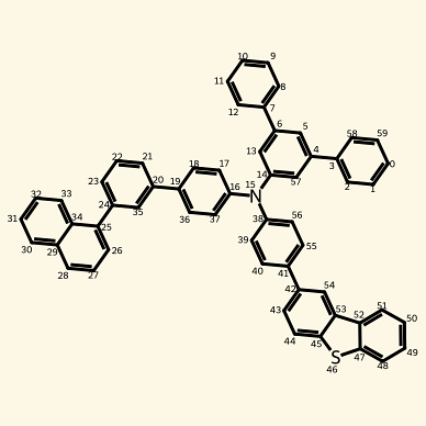 c1ccc(-c2cc(-c3ccccc3)cc(N(c3ccc(-c4cccc(-c5cccc6ccccc56)c4)cc3)c3ccc(-c4ccc5sc6ccccc6c5c4)cc3)c2)cc1